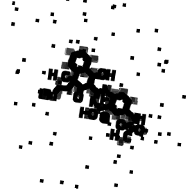 CC(C)(C)CCC1(C)C(=O)C(C2=NP(=O)(O)c3cc(NS(C)(=O)=O)ccc3N2)=C(O)c2ccccc21